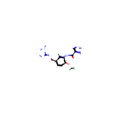 CN1NNN=C1NC(=O)c1ccc(OC(F)F)c(NC(=O)c2cnsn2)c1Cl